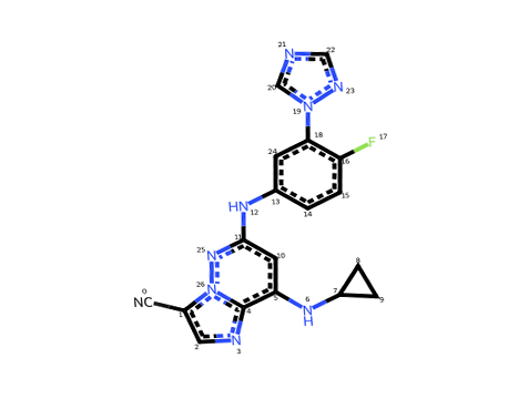 N#Cc1cnc2c(NC3CC3)cc(Nc3ccc(F)c(-n4cncn4)c3)nn12